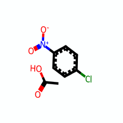 CC(=O)O.O=[N+]([O-])c1ccc(Cl)cc1